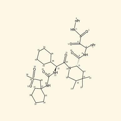 CCCNC(=O)C(=O)C(CCC)NC(=O)[C@@H]1CC(C)(C)C(C)CN1C(=O)[C@@H](NC(=O)NC1(CS(C)(=O)=O)CCCCC1)C1CCCCC1